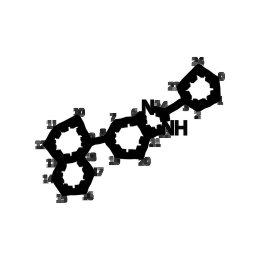 c1ccc(-c2nc3cc(-c4cccc5ccccc45)ccc3[nH]2)cc1